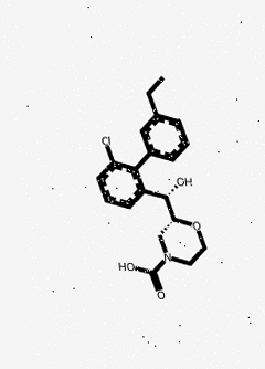 CCc1cccc(-c2c(Cl)cccc2[C@H](O)[C@H]2CN(C(=O)O)CCO2)c1